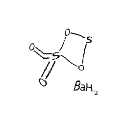 O=S1(=O)OSO1.[BaH2]